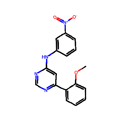 COc1ccccc1-c1cc(Nc2cccc([N+](=O)[O-])c2)ncn1